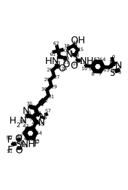 Cc1ncsc1-c1ccc(CNC(=O)[C@@H]2C[C@@H](O)CN2C(=O)C(NC(=O)CCCCCCC#Cc2cnc(N)c3c(-c4ccc(NS(=O)(=O)C(F)F)c(F)c4)nn(C)c23)C(C)(C)C)cc1